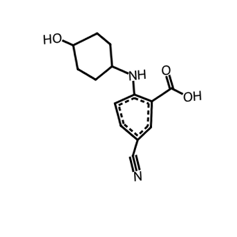 N#Cc1ccc(NC2CCC(O)CC2)c(C(=O)O)c1